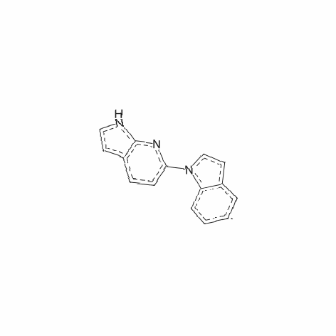 [c]1ccc2c(c1)ccn2-c1ccc2cc[nH]c2n1